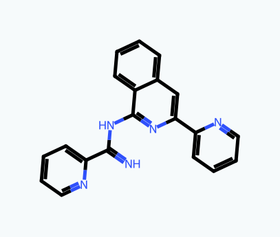 N=C(Nc1nc(-c2ccccn2)cc2ccccc12)c1ccccn1